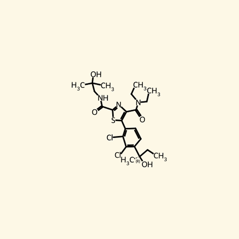 CCN(CC)C(=O)c1nc(C(=O)NCC(C)(C)O)sc1-c1ccc([C@](C)(O)CC)c(Cl)c1Cl